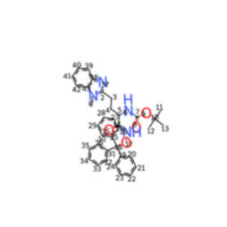 Cn1c(CCC(NC(=O)OC(C)(C)C)C(=O)NOC(c2ccccc2)(c2ccccc2)c2ccccc2)nc2ccccc21